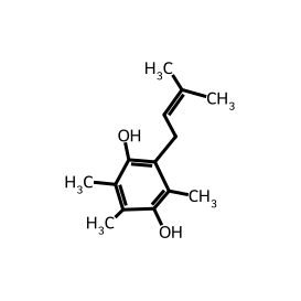 CC(C)=CCc1c(C)c(O)c(C)c(C)c1O